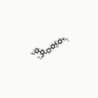 COc1ccc(NC(=O)c2ccc(N3CCN(Cc4ccc(-c5cncc(O)c5)cc4OC)CC3)cc2)cc1